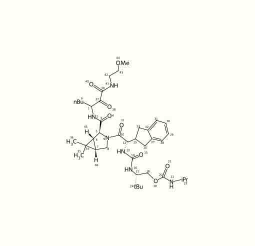 CCCCC(NC(=O)[C@@H]1[C@@H]2[C@H](CN1C(=O)[C@@H](NC(=O)N[C@H](COC(=O)NC(C)C)C(C)(C)C)C1Cc3ccccc3C1)C2(C)C)C(=O)C(=O)NCCOC